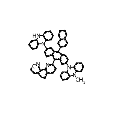 CN1c2ccccc2N(c2ccc3c(-c4ccc5ccccc5c4)c4cc(N5c6ccccc6Nc6ccccc65)ccc4c(-c4ccc5ccc6cccnc6c5n4)c3c2)c2ccccc21